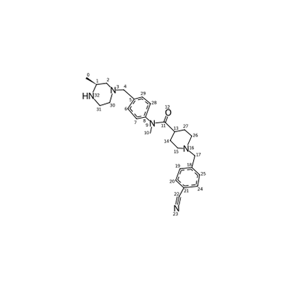 C[C@H]1CN(Cc2ccc(N(C)C(=O)C3CCN(Cc4ccc(C#N)cc4)CC3)cc2)CCN1